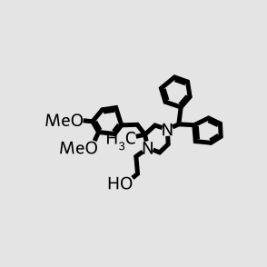 COc1ccc(CC2(C)CN(C(c3ccccc3)c3ccccc3)CCN2CCO)cc1OC